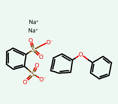 O=S(=O)([O-])c1ccccc1S(=O)(=O)[O-].[Na+].[Na+].c1ccc(Oc2ccccc2)cc1